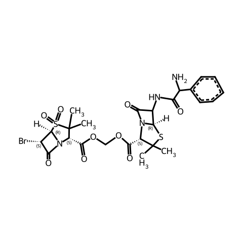 CC1(C)S[C@@H]2C(NC(=O)C(N)c3ccccc3)C(=O)N2[C@H]1C(=O)OCOC(=O)[C@@H]1N2C(=O)[C@H](Br)[C@H]2S(=O)(=O)C1(C)C